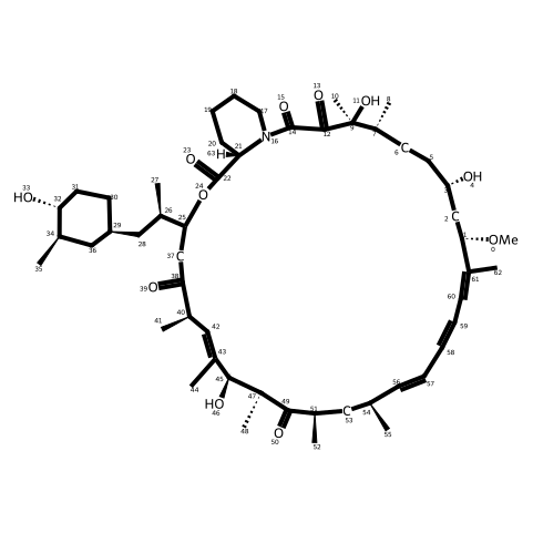 CO[C@H]1C[C@@H](O)CC[C@@H](C)[C@](C)(O)C(=O)C(=O)N2CCCC[C@H]2C(=O)OC([C@H](C)C[C@@H]2CC[C@@H](O)[C@H](C)C2)CC(=O)[C@H](C)/C=C(\C)[C@H](O)[C@@H](C)C(=O)[C@H](C)C[C@H](C)/C=C/C=C/C=C/1C